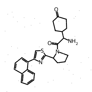 NC(C(=O)N1CCCC1c1nc(-c2cccc3ccccc23)cs1)C1CCC(=O)CC1